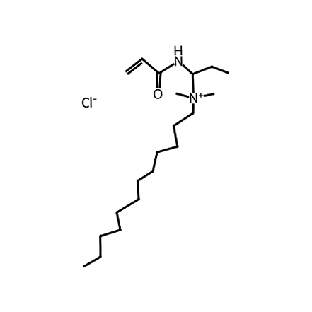 C=CC(=O)NC(CC)[N+](C)(C)CCCCCCCCCCCC.[Cl-]